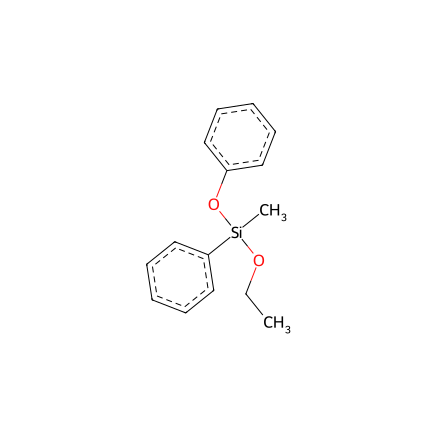 CCO[Si](C)(Oc1ccccc1)c1ccccc1